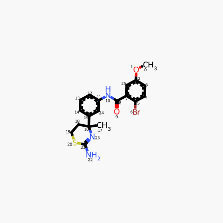 COc1ccc(Br)c(C(=O)Nc2cccc(C3(C)CCSC(N)=N3)c2)c1